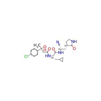 CC(O)(CC(=O)N[C@@H](CC1CC1)C(=O)N[C@H](C#N)C[C@@H]1CCNC1=O)c1ccc(Cl)cc1